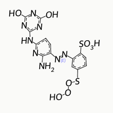 Nc1nc(Nc2nc(O)nc(O)n2)ccc1/N=N/c1cc(SOOO)ccc1S(=O)(=O)O